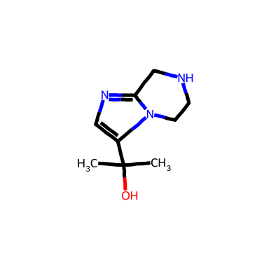 CC(C)(O)c1cnc2n1CCNC2